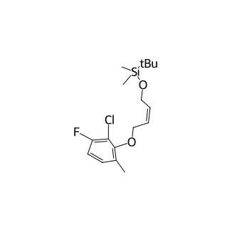 Cc1ccc(F)c(Cl)c1OC/C=C\CO[Si](C)(C)C(C)(C)C